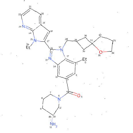 CCc1cc(C(=O)N2CCC[C@@H](N)C2)cc2nc(-c3cc4cccnc4n3CC)n(CC3CC4(CCCO4)C3)c12